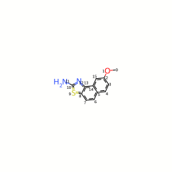 COc1ccc2ccc3sc(N)nc3c2c1